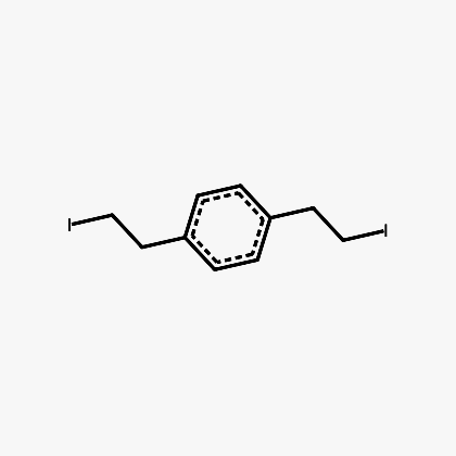 ICCc1ccc(CCI)cc1